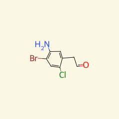 Nc1cc(CC=O)c(Cl)cc1Br